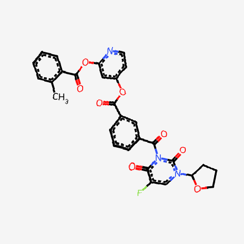 Cc1ccccc1C(=O)Oc1cc(OC(=O)c2cccc(C(=O)n3c(=O)c(F)cn(C4CCCO4)c3=O)c2)ccn1